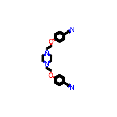 N#Cc1ccc(OCCN2CCN(CCOc3ccc(C#N)cc3)CC2)cc1